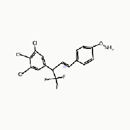 NOc1ccc(/C=C/C(c2cc(Cl)c(Cl)c(Cl)c2)C(F)(F)F)cc1